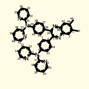 Cc1cc2nc(-c3ccc(N(c4ccccn4)c4ccccn4)cc3)c(-c3ccc(N(c4ccccn4)c4ccccn4)cc3)nc2cc1C